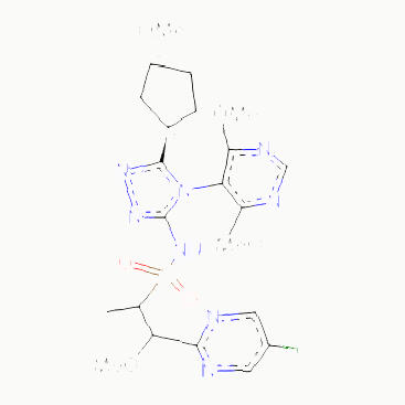 COc1ncnc(OC)c1-n1c(NS(=O)(=O)C(C)C(OC)c2ncc(Cl)cn2)nnc1[C@@H]1CC[C@@H](OC)C1